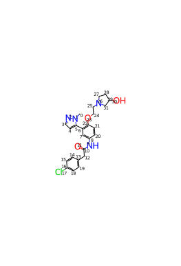 Cn1nccc1-c1cc(NC(=O)Cc2ccc(Cl)cc2)ccc1OCCN1CCC(O)C1